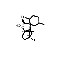 C=C(C(=O)O)C1(C2C[C@H]3CC[C@@]2(C)C3(C)C)CC(C)CCC1C(C)C